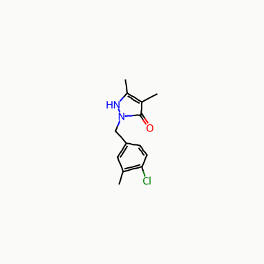 Cc1cc(Cn2[nH]c(C)c(C)c2=O)ccc1Cl